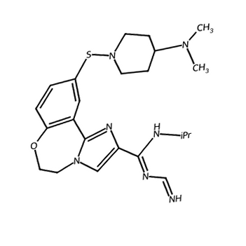 CC(C)N/C(=N\C=N)c1cn2c(n1)-c1cc(SN3CCC(N(C)C)CC3)ccc1OCC2